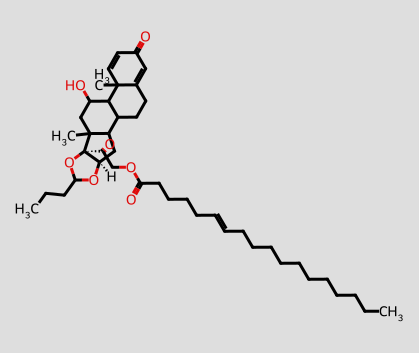 CCCCCCCCCCC/C=C/CCCCC(=O)OCC(=O)[C@@]12OC(CCC)O[C@@H]1CC1C3CCC4=CC(=O)C=CC4(C)C3C(O)CC12C